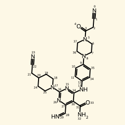 N#CCC(=O)N1CCN(c2ccc(Nc3nc(N4CCC(CC#N)CC4)nc(C=N)c3C(N)=O)cc2)CC1